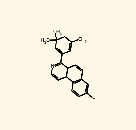 CC1=CC(C2=NC=CC3c4ccc(F)cc4C=CC23)=CC(C)(C)C1